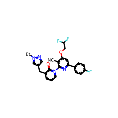 CCn1cc(Cc2cccn(-c3nc(-c4ccc(F)cc4)cc(OCC(F)F)c3C#N)c2=O)cn1